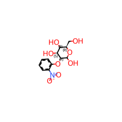 O=[N+]([O-])c1ccccc1O[C@H]1C(O)O[C@H](CO)[C@H](O)[C@@H]1O